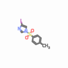 Cc1ccc(S(=O)(=O)n2cnc(I)c2)cc1